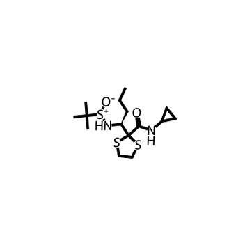 CCC[C@H](N[S+]([O-])C(C)(C)C)C1(C(=O)NC2CC2)SCCS1